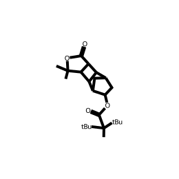 CC1(C)OC(=O)C2C3C4CC(OC(=O)C(C)(C(C)(C)C)C(C)(C)C)C(C4)C3C21